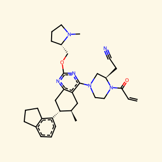 C=CC(=O)N1CCN(c2nc(OC[C@@H]3CCCN3C)nc3c2C[C@@H](C)[C@H](c2cccc4c2CCC4)C3)C[C@H]1CC#N